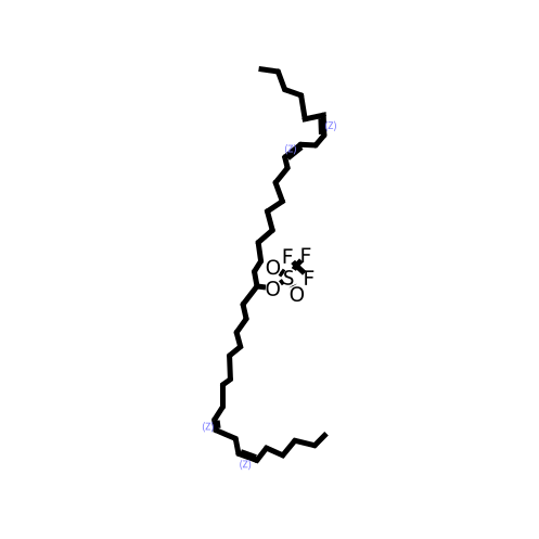 CCCCC/C=C\C/C=C\CCCCCCCCC(CCCCCCCC/C=C\C/C=C\CCCCC)OS(=O)(=O)C(F)(F)F